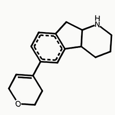 C1=C(c2ccc3c(c2)C2CCCNC2C3)CCOC1